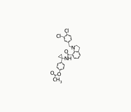 CC(=O)Oc1ccc(C2(NC(=O)c3cccc4c3N(Cc3ccc(Cl)c(Cl)c3)CC4)CC2)cc1